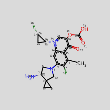 Cc1c(F)c(N2C[C@@H](N)C3(CC3)C2)cc2c1c(=O)c(OC(=O)O)cn2[C@@H]1C[C@@H]1F